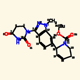 Cn1nc(N2CCC(=O)NC2=O)c2ccc(C3C=CCCN3C(=O)OC(C)(C)C)cc21